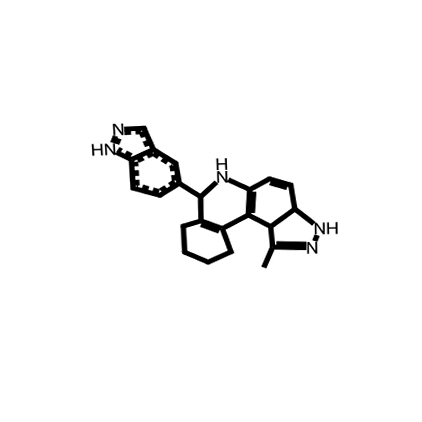 CC1=NNC2C=CC3=C(C4=C(CCCC4)C(c4ccc5[nH]ncc5c4)N3)C12